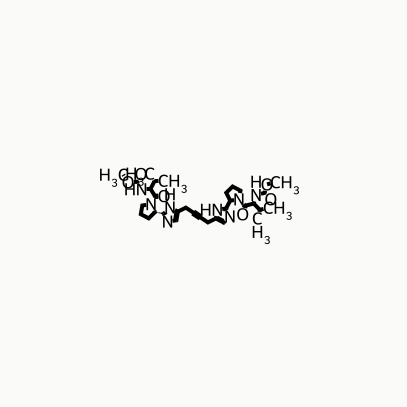 COC(=O)NC(C(=O)N1CCCC1c1ncc(CC#CCc2cnc([C@@H]3CCCN3C(=O)C(NC(=O)OC)C(C)C)[nH]2)[nH]1)C(C)C